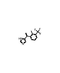 C=C(c1cnc[nH]1)c1cccc(C(F)(F)F)c1C